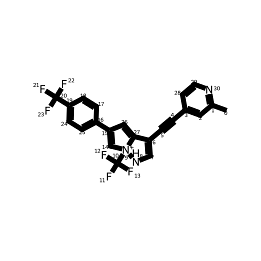 Cc1cc(C#CC2=CN[N+]3(C(F)(F)F)C=C(c4ccc(C(F)(F)F)cc4)C=C23)ccn1